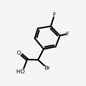 O=C(O)C(Br)c1ccc(F)c(F)c1